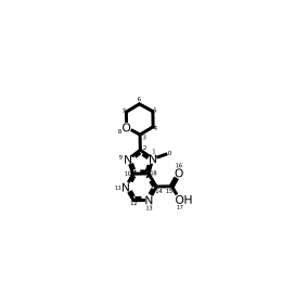 Cn1c(C2CCCCO2)nc2ncnc(C(=O)O)c21